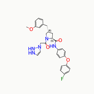 COc1cccc(C[C@@H]2C[C@@H](C(=O)Nc3ccc(Oc4ccc(F)cc4)cc3)N(C(=O)CN3C=CNN3)C2)c1